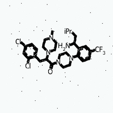 CC(C)CC(N)c1cc(C(F)(F)F)ccc1N1CCN(C(=O)C(Cc2ccc(Cl)cc2Cl)N2CCN(C)CC2)CC1